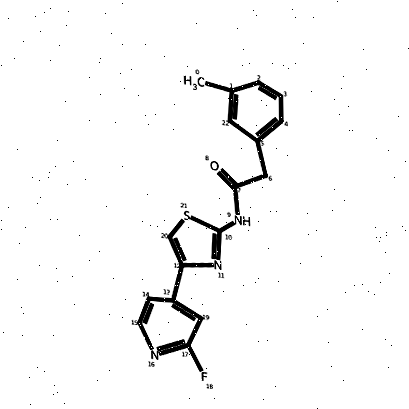 Cc1cccc(CC(=O)Nc2nc(-c3ccnc(F)c3)cs2)c1